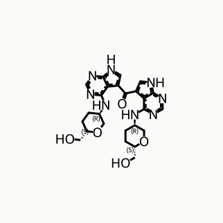 O=C(c1c[nH]c2ncnc(N[C@@H]3CC[C@@H](CO)OC3)c12)c1c[nH]c2ncnc(N[C@@H]3CC[C@@H](CO)OC3)c12